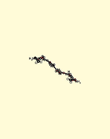 N[C@@H]1CCCN([C@H]2Cc3c(Cl)cc(Cl)cc3[C@@H]2Oc2ccc(N(CCOCCOCCn3cc(CNC(=O)NCCCCNC(=O)NCc4cn(CCOCCOCCNS(=O)(=O)c5ccc(O[C@H]6c7cc(Cl)cc(Cl)c7C[C@@H]6N6CCC[C@@H](N)C6)cc5)nn4)nn3)[SH](=O)=O)cc2)C1